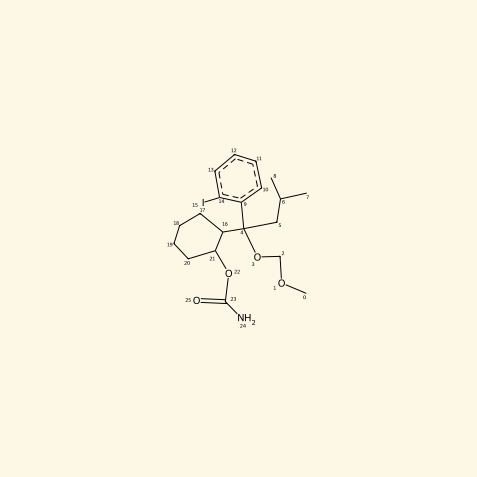 COCOC(CC(C)C)(c1ccccc1I)C1CCCCC1OC(N)=O